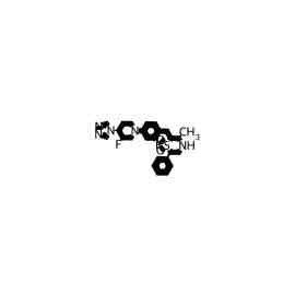 C[C@@H]1NC[C@@H](c2ccccc2)S(=O)(=O)C1Cc1ccc(N2CC[C@@H](n3cnnc3)[C@H](F)C2)cc1F